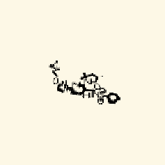 C[C@@H]1CN(c2nc(-n3ccc(OCC[Si](C)(C)C)n3)ccc2C(=O)NS(=O)(=O)c2ccccc2)C(C)(C)C1